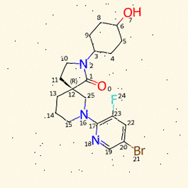 O=C1N(C2CCC(O)CC2)CC[C@@]12CCCN(c1ncc(Br)cc1F)C2